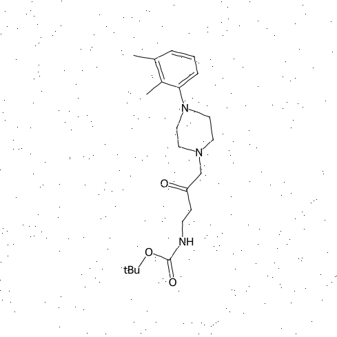 Cc1cccc(N2CCN(CC(=O)CCNC(=O)OC(C)(C)C)CC2)c1C